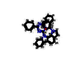 c1ccc(-c2nc(-c3ccccc3)nc(-n3c4ccccc4c4ccc5ccn(-c6ccccc6)c5c43)n2)cc1